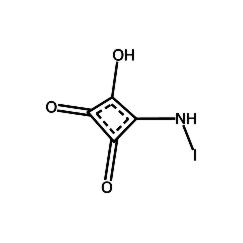 O=c1c(O)c(NI)c1=O